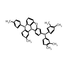 Cc1ccc(N2c3ccc(C)cc3B3c4ccc(N(c5ccc(C)c(C)c5)c5ccc(C)c(C)c5)cc4Oc4cccc2c43)cc1